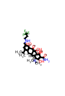 CC(C)c1cc(CNCCC(F)(F)F)c(O)c2c1C[C@H]1C[C@H]3[C@H](N(C)C)C(O)=C(C(N)=O)C(=O)[C@@]3(O)C(O)=C1C2=O